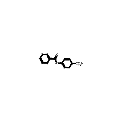 O=C(OC1=CCC(C(=O)O)C=C1)C1=CCC=CC1